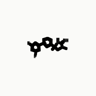 CN1CC(C)(c2cccc(-c3cc(F)cc(F)c3)c2)NC1=N